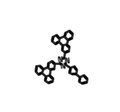 c1ccc(-c2ccc(-c3nc(-c4ccc5c6ccccc6c6ccccc6c5c4)nc(-c4ccc5c6ccccc6c6ccccc6c5c4)n3)cc2)cc1